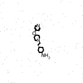 N[C@H]1CC[C@H](CCN2CCC(Oc3ccncc3)CC2)CC1